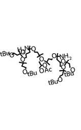 CC(=O)OCC(COC(C)(C)CCOC(C)(N)CC(COC(C)(C)CCOC(C)(C)C)OC(C)(C)CCOC(C)(C)C)OC(C)(C)CCOC(C)(N)CC(COC(C)(C)CCOC(C)(C)C)OC(C)(C)CCOC(C)(C)C